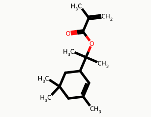 C=C(C)C(=O)OC(C)(C)C1C=C(C)CC(C)(C)C1